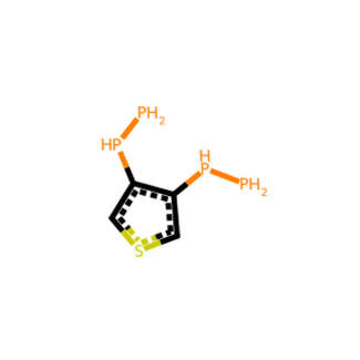 PPc1cscc1PP